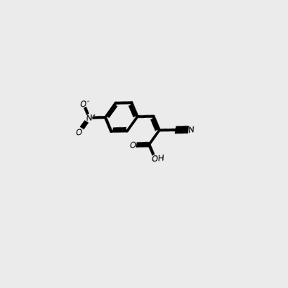 N#CC(=Cc1ccc([N+](=O)[O-])cc1)C(=O)O